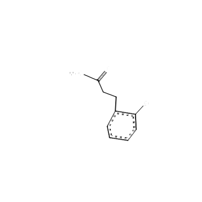 CCc1ccccc1CCC(=O)OC